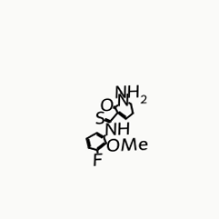 COc1c(F)cccc1NC(=S)C1=CCCN(N)C1=O